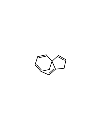 C1=CC23C=CCC2=CC(=C1)C3